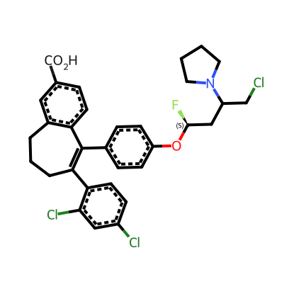 O=C(O)c1ccc2c(c1)CCCC(c1ccc(Cl)cc1Cl)=C2c1ccc(O[C@@H](F)CC(CCl)N2CCCC2)cc1